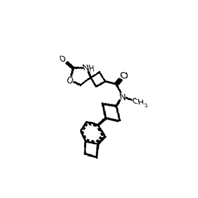 CN(C(=O)C1CC2(COC(=O)N2)C1)C1CC(c2ccc3c(c2)CC3)C1